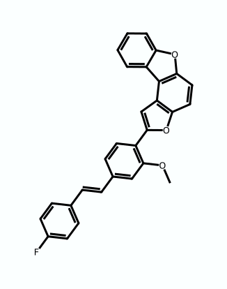 COc1cc(C=Cc2ccc(F)cc2)ccc1-c1cc2c(ccc3oc4ccccc4c32)o1